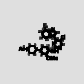 COc1cc(C2CCN(C(C)=O)CC2)ccc1Nc1ncc(Cl)c(-c2cnc3c(F)cccn23)n1